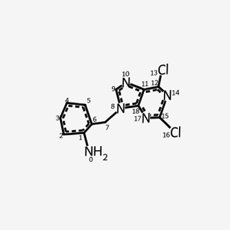 Nc1ccccc1Cn1cnc2c(Cl)nc(Cl)nc21